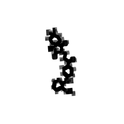 Nc1cccnc1Nc1ccc(C(=O)CCN2C(=O)NC3(CCC(F)(F)CC3)C2=O)cc1